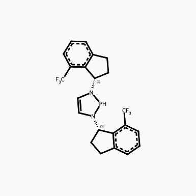 FC(F)(F)c1cccc2c1[C@@H](N1C=CN([C@H]3CCc4cccc(C(F)(F)F)c43)P1)CC2